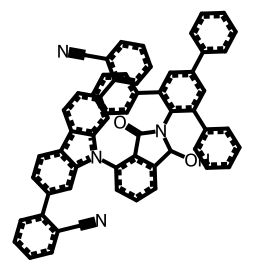 N#Cc1ccccc1-c1ccc2c3ccc(-c4ccccc4C#N)cc3n(-c3cccc4c3C(=O)N(c3c(-c5ccccc5)cc(-c5ccccc5)cc3-c3ccccc3)C4O)c2c1